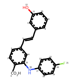 O=C(O)c1ccc(C=Cc2cccc(O)c2)cc1Nc1ccc(F)cc1